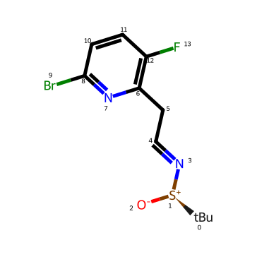 CC(C)(C)[S@@+]([O-])/N=C/Cc1nc(Br)ccc1F